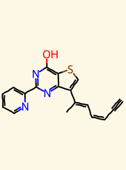 C#C/C=C\C=C(/C)c1csc2c(O)nc(-c3ccccn3)nc12